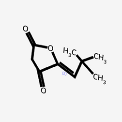 CC(C)(C)/C=C1\OC(=O)CC1=O